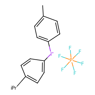 Cc1ccc([I+]c2ccc(C(C)C)cc2)cc1.F[P-](F)(F)(F)(F)F